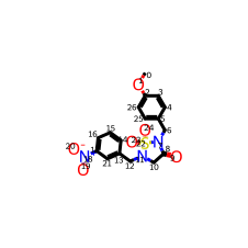 COc1ccc(CN2C(=O)CN(Cc3cccc([N+](=O)[O-])c3)S2(=O)=O)cc1